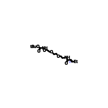 CC/C=C/C(=O)NCCOCCOCCONC(=O)OC(C)(C)C